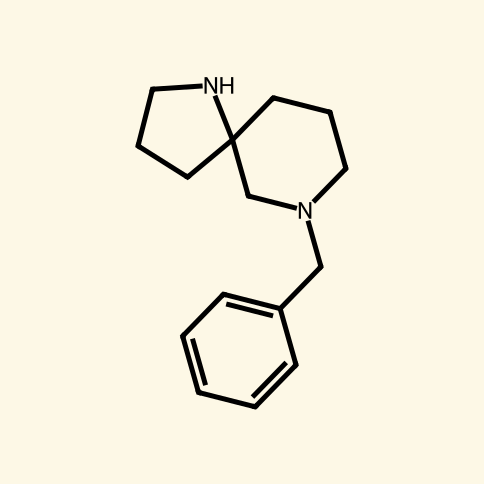 c1ccc(CN2CCCC3(CCCN3)C2)cc1